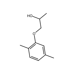 Cc1ccc(C)c(OCC(C)O)c1